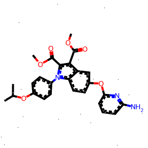 COC(=O)c1c(C(=O)OC)n(-c2ccc(OC(C)C)cc2)c2ccc(Oc3cccc(N)n3)cc12